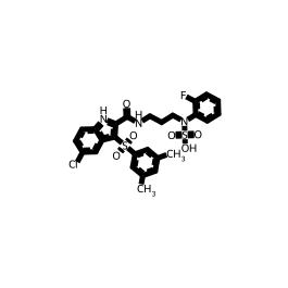 Cc1cc(C)cc(S(=O)(=O)c2c(C(=O)NCCCN(c3ccccc3F)S(=O)(=O)O)[nH]c3ccc(Cl)cc23)c1